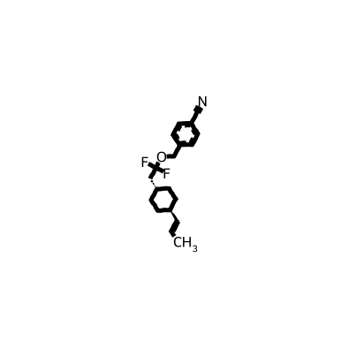 C/C=C/[C@H]1CC[C@H](CC(F)(F)OCc2ccc(C#N)cc2)CC1